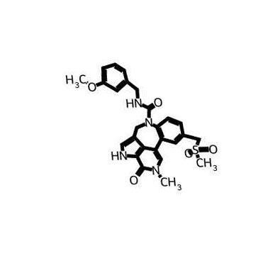 COc1cccc(CNC(=O)N2Cc3c[nH]c4c(=O)n(C)cc(c34)-c3cc(CS(C)(=O)=O)ccc32)c1